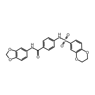 O=C(Nc1ccc2c(c1)OCO2)c1ccc(NS(=O)(=O)c2ccc3c(c2)OCCO3)cc1